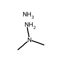 CN(C)N.N